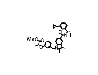 COC(=O)C(C)Oc1cccc(Cn2c(C)c(C)c3cc(C(=O)N[C@@H](C)c4cccc(C5CC5)c4)ccc32)c1